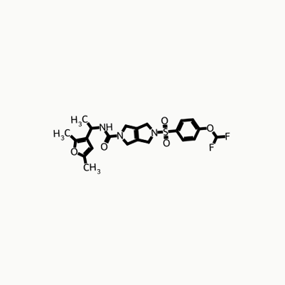 Cc1cc(C(C)NC(=O)N2CC3=C(C2)CN(S(=O)(=O)c2ccc(OC(F)F)cc2)C3)c(C)o1